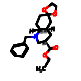 CCOC(=O)[C@H]1C[C@@H]2CC3(CC[C@H]2N(Cc2ccccc2)C1)OCCO3